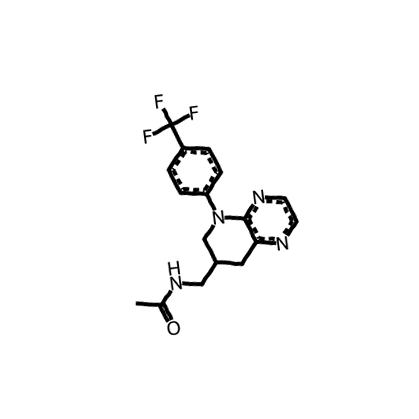 CC(=O)NCC1Cc2nccnc2N(c2ccc(C(F)(F)F)cc2)C1